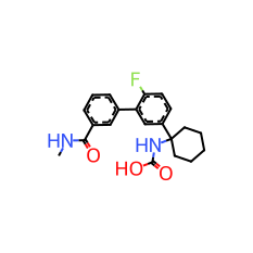 CNC(=O)c1cccc(-c2cc(C3(NC(=O)O)CCCCC3)ccc2F)c1